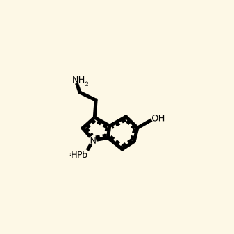 NCCc1c[n]([PbH])c2ccc(O)cc12